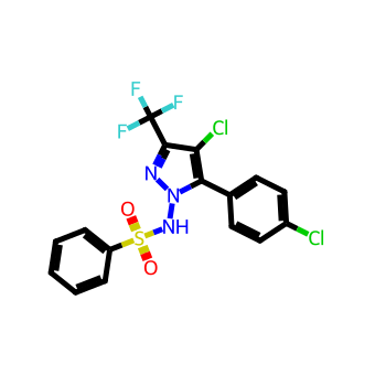 O=S(=O)(Nn1nc(C(F)(F)F)c(Cl)c1-c1ccc(Cl)cc1)c1ccccc1